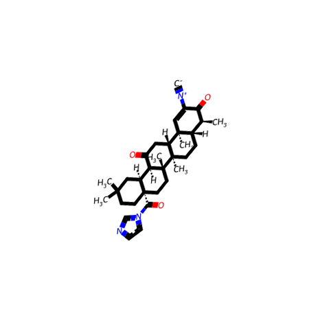 [C-]#[N+]C1=C[C@]2(C)[C@H]3CC(=O)[C@@H]4[C@@H]5CC(C)(C)CC[C@]5(C(=O)n5ccnc5)CC[C@@]4(C)[C@]3(C)CC[C@H]2[C@H](C)C1=O